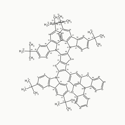 CC(C)(C)c1ccc2c(c1)c1cc(C(C)(C)C)ccc1n2-c1sc2c(-n3c4ccc(C(C)(C)C)cc4c4cc(C(C)(C)C)ccc43)c(-n3c4ccc(C(C)(C)C)cc4c4cc(C(C)(C)C)ccc43)sc2c1-c1cc2c3c(c1)Oc1ccccc1B3c1ccccc1O2